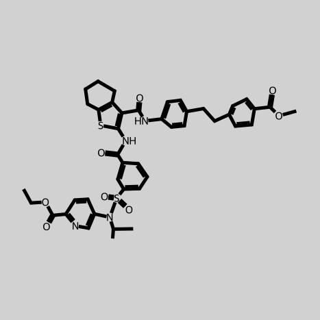 CCOC(=O)c1ccc(N(C(C)C)S(=O)(=O)c2cccc(C(=O)Nc3sc4c(c3C(=O)Nc3ccc(CCc5ccc(C(=O)OC)cc5)cc3)CCCC4)c2)cn1